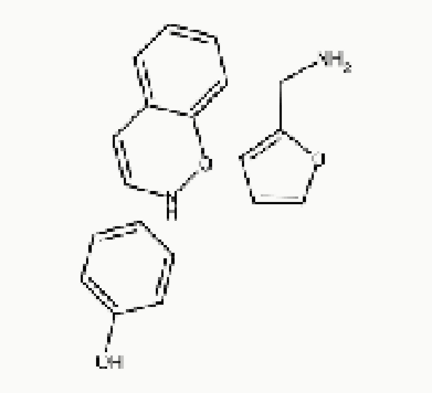 C1=Cc2ccccc2ON1.NCc1ccco1.Oc1ccccc1